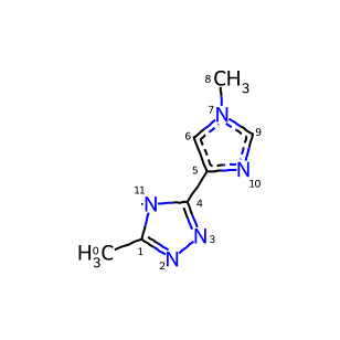 CC1=NN=C(c2cn(C)cn2)[N]1